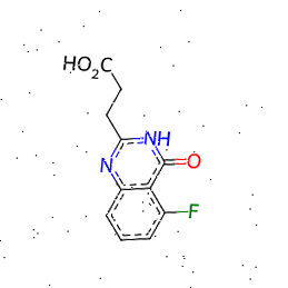 O=C(O)CCc1nc2cccc(F)c2c(=O)[nH]1